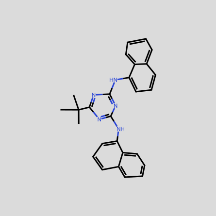 CC(C)(C)c1nc(Nc2cccc3ccccc23)nc(Nc2cccc3ccccc23)n1